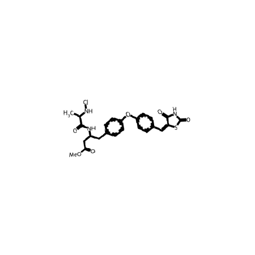 COC(=O)CC(Cc1ccc(Oc2ccc(/C=C3/SC(=O)NC3=O)cc2)cc1)NC(=O)C(C)NCl